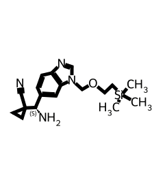 C[Si](C)(C)CCOCn1cnc2ccc([C@H](N)C3(C#N)CC3)cc21